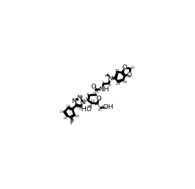 CN(CCNC(=O)[C@H]1C[C@@H](n2cc(-c3cccc(F)c3)nn2)[C@@H](O)[C@@H](CO)O1)c1ccc2c(c1)OCO2